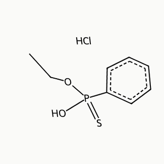 CCOP(O)(=S)c1ccccc1.Cl